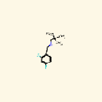 COC(C)(C)CNCc1ccc(F)cc1F